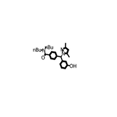 CCCCN(CCCC)C(=O)c1ccc(C(c2cccc(O)c2)n2nc(C)cc2C)cc1